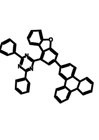 C1=CC2c3ccccc3-c3cc(-c4cc(-c5nc(-c6ccccc6)nc(-c6ccccc6)n5)c5c(c4)oc4ccccc45)ccc3C2C=C1